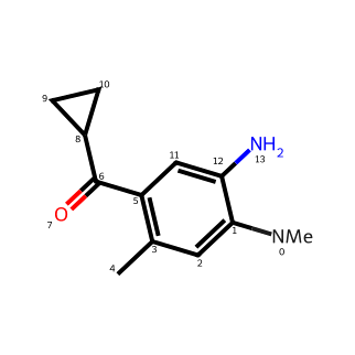 CNc1cc(C)c(C(=O)C2CC2)cc1N